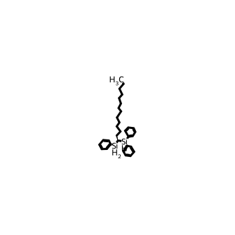 CCCCCCCCCCCCC[C@H]([SiH2]c1ccccc1)[SiH](c1ccccc1)c1ccccc1